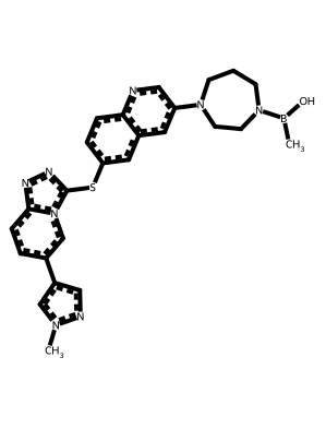 CB(O)N1CCCN(c2cnc3ccc(Sc4nnc5ccc(-c6cnn(C)c6)cn45)cc3c2)CC1